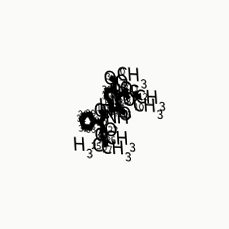 COC(=O)C1=C(C(=O)OC(C)(C)C)N2C(=O)[C@@H](NC(=O)C(C(=O)OC(C)(C)C)c3ccccc3)[C@@H]2CC1